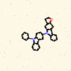 c1ccc(-n2c3ccccc3c3cc(-n4c5ccccc5c5cc6occc6cc54)ccc32)cc1